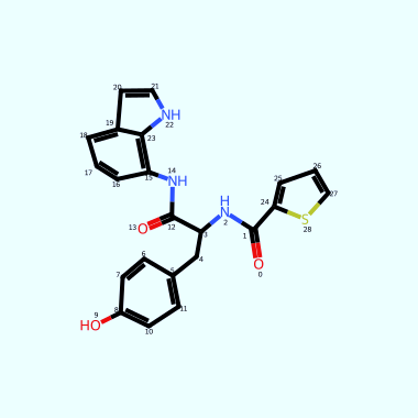 O=C(NC(Cc1ccc(O)cc1)C(=O)Nc1cccc2cc[nH]c12)c1cccs1